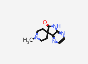 CN1CCC2(CC1)C(=O)Nc1nccnc12